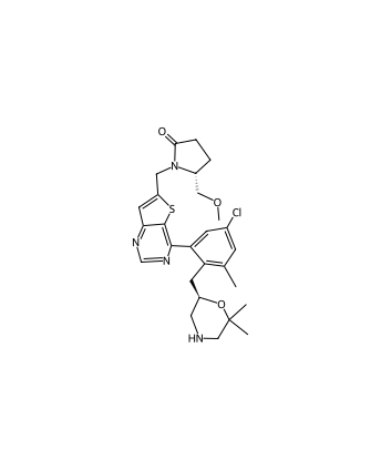 COC[C@H]1CCC(=O)N1Cc1cc2ncnc(-c3cc(Cl)cc(C)c3C[C@@H]3CNCC(C)(C)O3)c2s1